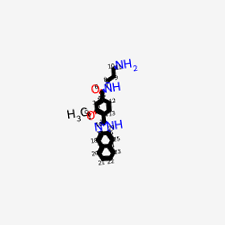 COc1cc(C(=O)NCCCN)ccc1-c1nc2cc3ccccc3cc2[nH]1